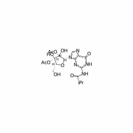 CC(=O)O[C@@]1(O)[C@@H](CO)O[C@@H](n2cnc3c(=O)[nH]c(NC(=O)C(C)C)nc32)[C@@]1(O)OC(C)=O